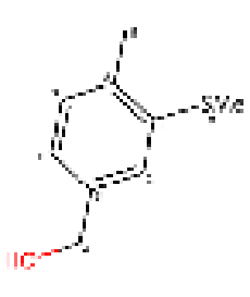 CSc1cc(CO)ccc1C